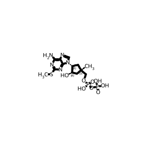 CSc1nc(N)c2ncn([C@@H]3C[C@](C)(COP(=O)(O)OP(=O)(O)O)C[C@H]3O)c2n1